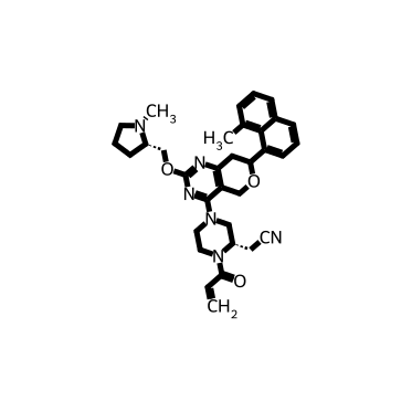 C=CC(=O)N1CCN(c2nc(OC[C@@H]3CCCN3C)nc3c2COC(c2cccc4cccc(C)c24)C3)C[C@@H]1CC#N